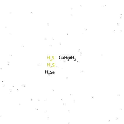 S.S.[GaH3].[SeH2].[SeH2]